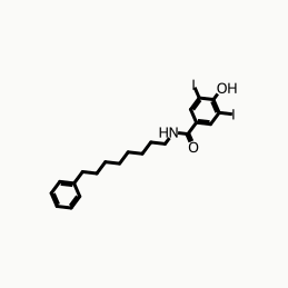 O=C(NCCCCCCCCc1ccccc1)c1cc(I)c(O)c(I)c1